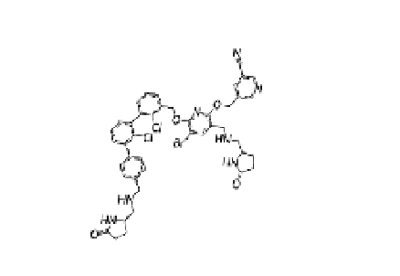 N#Cc1cncc(COc2nc(OCc3cccc(-c4cccc(-c5ccc(CNCC6CCC(=O)N6)cc5)c4Cl)c3Cl)c(Br)cc2CNCC2CCC(=O)N2)c1